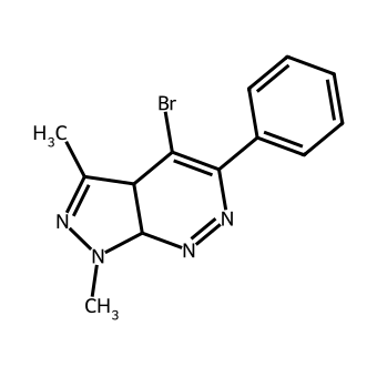 CC1=NN(C)C2N=NC(c3ccccc3)=C(Br)C12